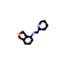 C(=Nc1cccc2cocc12)c1ccccn1